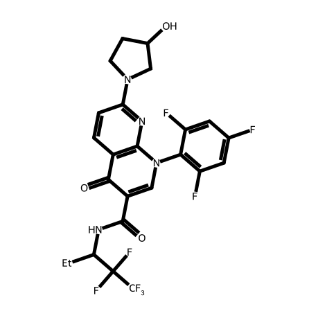 CCC(NC(=O)c1cn(-c2c(F)cc(F)cc2F)c2nc(N3CCC(O)C3)ccc2c1=O)C(F)(F)C(F)(F)F